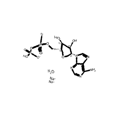 Nc1ncnc2c1ncn2[C@@H]1O[C@H](COP(=O)([O-])OP(=O)([O-])O)[C@@H](O)[C@H]1O.O.[Na+].[Na+]